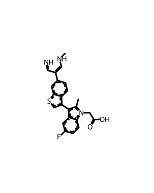 CN/C=C(\C=N)c1ccc2c(-c3c(C)n(CC(=O)O)c4ccc(F)cc34)csc2c1